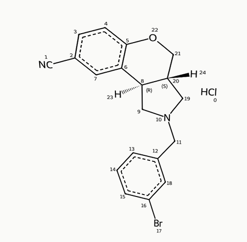 Cl.N#Cc1ccc2c(c1)[C@@H]1CN(Cc3cccc(Br)c3)C[C@H]1CO2